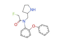 O=C(CF)N(CC1CCCN1)c1ccccc1Oc1ccccc1